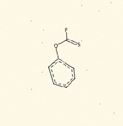 FC(=S)Oc1ccccc1